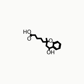 CC1(CCCCC(=O)O)CC(O)c2ccccc2O1